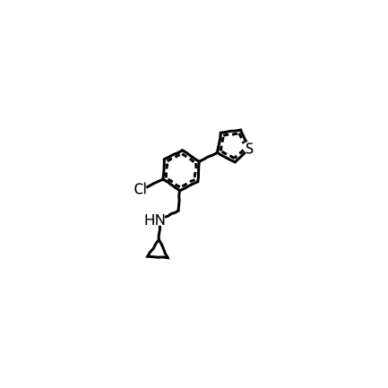 Clc1ccc(-c2ccsc2)cc1CNC1CC1